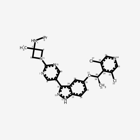 CC(C)NC1(C)CN(c2ncc(-c3n[nH]c4ccc(O[C@H](C)c5c(Cl)cncc5Cl)cc34)cn2)C1